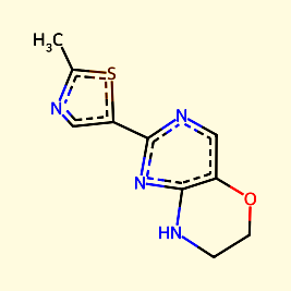 Cc1ncc(-c2ncc3c(n2)NCCO3)s1